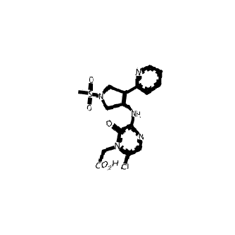 CS(=O)(=O)N1CC(Nc2ncc(Cl)n(CC(=O)O)c2=O)C(c2ccccn2)C1